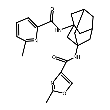 Cc1cccc(C(=O)NC23CC4CC(C2)CC(NC(=O)c2coc(C)n2)(C4)C3)n1